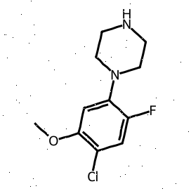 COc1cc(N2CCNCC2)c(F)cc1Cl